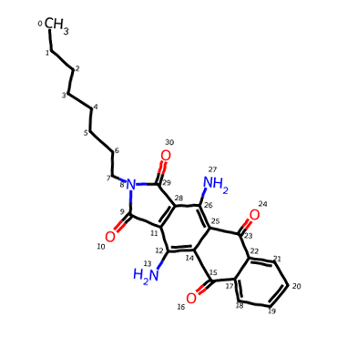 CCCCCCCCn1c(=O)c2c(N)c3c(=O)c4ccccc4c(=O)c3c(N)c2c1=O